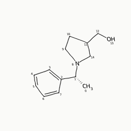 C[C@H](c1ccccc1)N1CCC(CO)C1